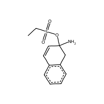 CCS(=O)(=O)OC1(N)C=Cc2ccccc2C1